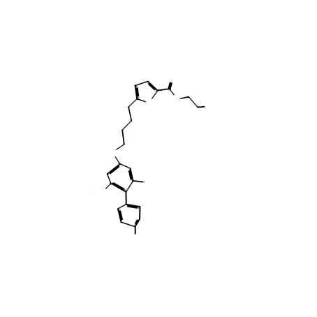 Cc1cc(OCCCCc2ccc(C(=O)NCCC(=O)O)s2)cc(C)c1-c1ccc(C(C)(C)C)cc1